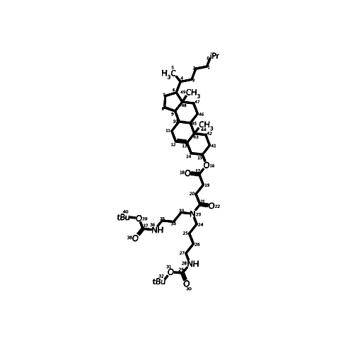 CC(C)CCCC(C)C1CCC2C3CC=C4CC(OC(=O)CCC(=O)N(CCCCNC(=O)OC(C)(C)C)CCCNC(=O)OC(C)(C)C)CCC4(C)C3CCC12C